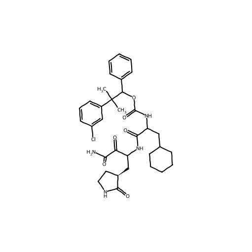 CC(C)(c1cccc(Cl)c1)C(OC(=O)NC(CC1CCCCC1)C(=O)NC(C[C@@H]1CCNC1=O)C(=O)C(N)=O)c1ccccc1